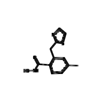 [CH2]c1ccc(C(=O)NO)c(Cc2nccs2)c1